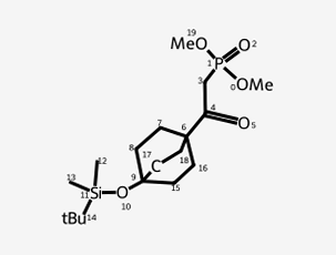 COP(=O)(CC(=O)C12CCC(O[Si](C)(C)C(C)(C)C)(CC1)CC2)OC